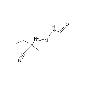 CCC(C)(C#N)N=NNC=O